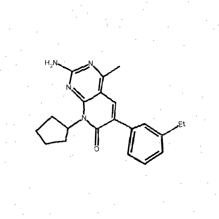 CCc1cccc(-c2cc3c(C)nc(N)nc3n(C3CCCC3)c2=O)c1